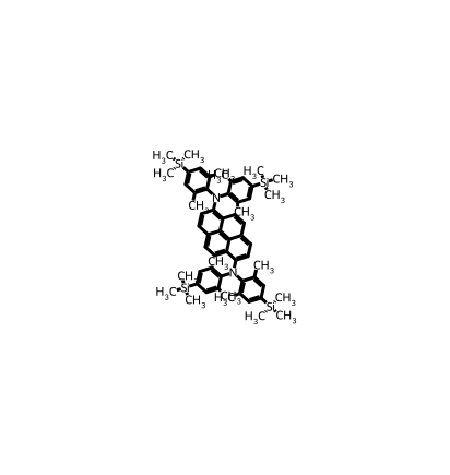 Cc1cc([Si](C)(C)C)cc(C)c1N(c1c(C)cc([Si](C)(C)C)cc1C)c1ccc2ccc3c(N(c4c(C)cc([Si](C)(C)C)cc4C)c4c(C)cc([Si](C)(C)C)cc4C)ccc4ccc1c2c43